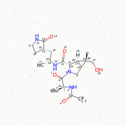 CC(C)(C)[C@H](NC(=O)C(F)(F)F)C(=O)N1CC2[C@@H]([C@H]1C(=O)N[C@H](C#N)C[C@@H]1CCNC1=O)[C@]2(C)CO